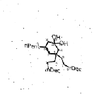 CCCCCCCCCCCCC1(CCCCCCCCCCCC)C=C(CCCCC)CC(O)(O)C1